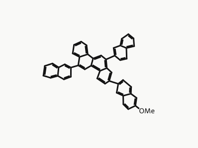 COc1ccc2cc(-c3ccc4c(c3)c(-c3ccc5ccccc5c3)cc3c5ccccc5c(-c5ccc6ccccc6c5)cc43)ccc2c1